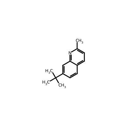 Cc1ccc2ccc(C(C)(C)C)cc2n1